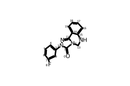 O=c1n(-c2cccc(F)c2)nc2n1CNc1ccccc1-2